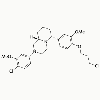 COc1cc(N2CCN3[C@@H](CCC[C@@H]3c3ccc(OCCCCl)c(OC)c3)C2)ccc1Cl